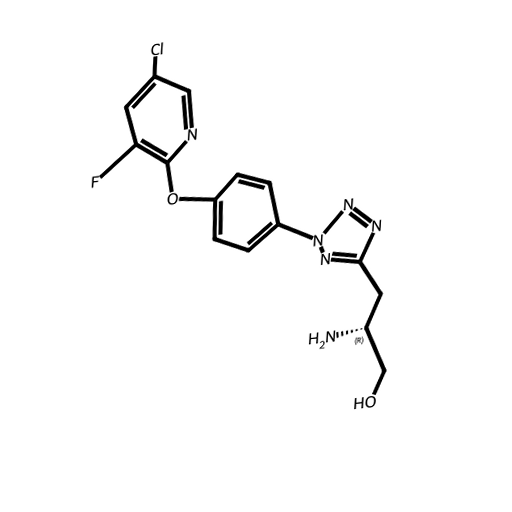 N[C@@H](CO)Cc1nnn(-c2ccc(Oc3ncc(Cl)cc3F)cc2)n1